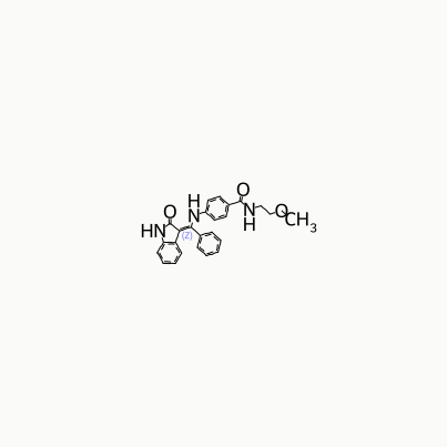 COCCNC(=O)c1ccc(N/C(=C2\C(=O)Nc3ccccc32)c2ccccc2)cc1